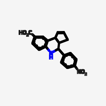 O=C(O)c1ccc2c(c1)C1C=CCC1C(c1ccc([N+](=O)[O-])cc1)N2